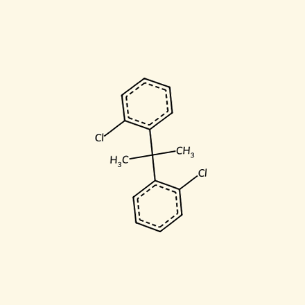 CC(C)(c1ccccc1Cl)c1ccccc1Cl